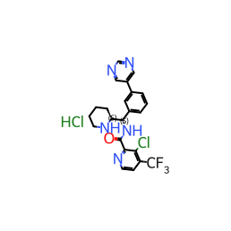 Cl.O=C(N[C@@H](c1cccc(-c2cncnc2)c1)[C@@H]1CCCCN1)c1nccc(C(F)(F)F)c1Cl